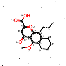 CCCc1c2c(c(OC)c3c(=O)cc(C(=O)O)oc13)CCCC2